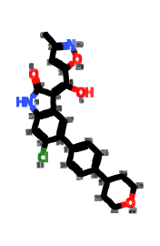 Cc1cc(C(O)=C2C(=O)Nc3cc(Cl)c(-c4ccc(C5CCOCC5)cc4)cc32)on1